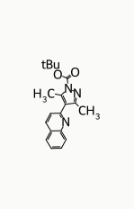 Cc1nn(C(=O)OC(C)(C)C)c(C)c1-c1ccc2ccccc2n1